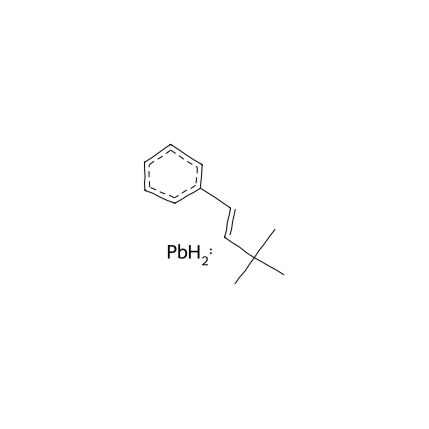 CC(C)(C)C=Cc1ccccc1.[PbH2]